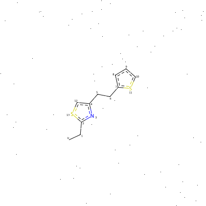 CCc1nc(CCc2cccs2)cs1